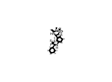 C=C1N[C@](C)(c2cc(NC(c3ccccc3)C(F)(F)F)ccc2F)CS(=O)(=O)N1C